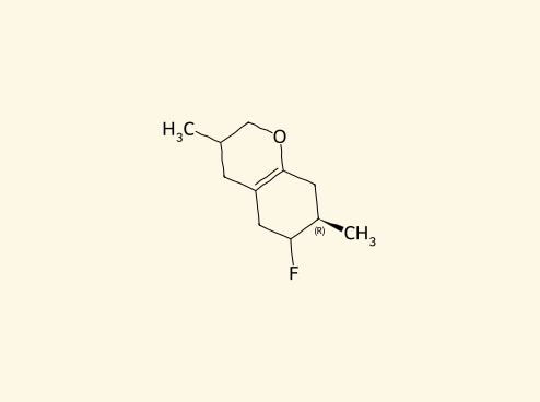 CC1COC2=C(C1)CC(F)[C@H](C)C2